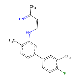 CC(=N)/C=C\Nc1cc(-c2ccc(F)c(C)c2)ccc1C